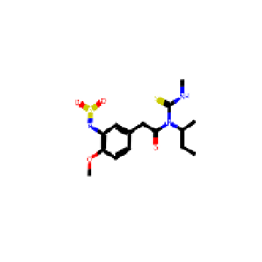 CCC(C)N(C(=O)Cc1ccc(OC)c(N=S(=O)=O)c1)C(=S)NC